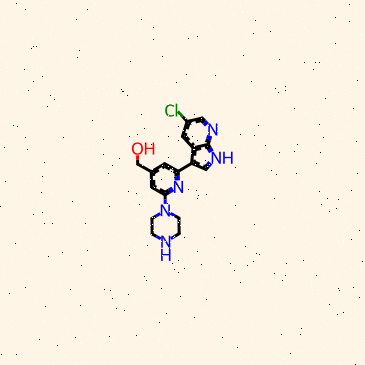 OCc1cc(-c2c[nH]c3ncc(Cl)cc23)nc(N2CCNCC2)c1